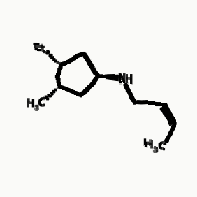 C/C=C\CN[C@@H]1C[C@@H](CC)[C@@H](C)C1